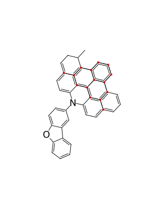 CC1CC=CC=C1c1cccc2cccc(-c3ccccc3N(c3ccc4oc5ccccc5c4c3)c3ccccc3-c3cccc4cccc(-c5ccccc5)c34)c12